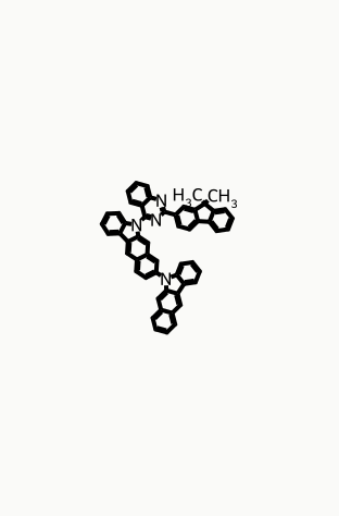 CC1(C)c2ccccc2-c2ccc(-c3nc(-n4c5ccccc5c5cc6ccc(-n7c8ccccc8c8cc9ccccc9cc87)cc6cc54)c4ccccc4n3)cc21